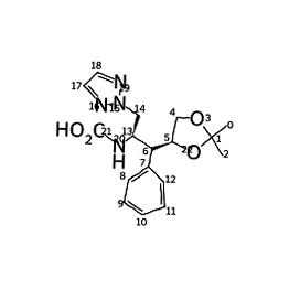 CC1(C)OC[C@H](C(c2ccccc2)[C@H](Cn2nccn2)NC(=O)O)O1